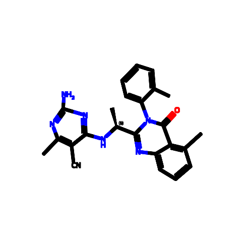 Cc1ccccc1-n1c([C@H](C)Nc2nc(N)nc(C)c2C#N)nc2cccc(C)c2c1=O